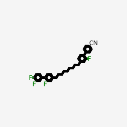 N#Cc1ccc(-c2ccc(CCCCCCCCCc3ccc(-c4ccc(F)c(F)c4)c(F)c3)cc2F)cc1